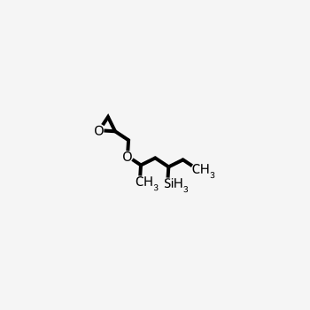 CCC([SiH3])CC(C)OCC1CO1